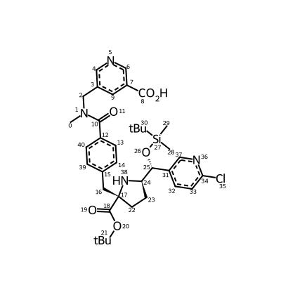 CN(Cc1cncc(C(=O)O)c1)C(=O)c1ccc(C[C@]2(C(=O)OC(C)(C)C)CC[C@H]([C@H](O[Si](C)(C)C(C)(C)C)c3ccc(Cl)nc3)N2)cc1